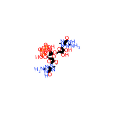 CO[C@@H]1[C@H](OC2(OC[C@H]3O[C@@H](n4cnc5c(=O)[nH]c(N)nc54)[C@H](O)[C@@H]3O)CC2=O)[C@@H](COP(=O)(O)OP(=O)(O)OP(=O)(O)O)O[C@H]1n1cnc2c(=O)[nH]c(N)nc21